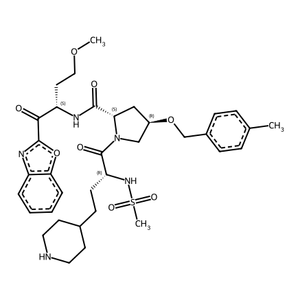 COCC[C@H](NC(=O)[C@@H]1C[C@@H](OCc2ccc(C)cc2)CN1C(=O)[C@@H](CCC1CCNCC1)NS(C)(=O)=O)C(=O)c1nc2ccccc2o1